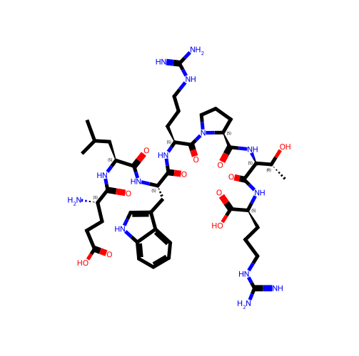 CC(C)C[C@H](NC(=O)[C@@H](N)CCC(=O)O)C(=O)N[C@@H](Cc1c[nH]c2ccccc12)C(=O)N[C@@H](CCCNC(=N)N)C(=O)N1CCC[C@H]1C(=O)N[C@H](C(=O)N[C@@H](CCCNC(=N)N)C(=O)O)[C@@H](C)O